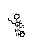 CCCCC1=NN(C(=O)N[C@@H]2CC3CC[C@H]2C3)C(C)(C)C1c1ccccc1